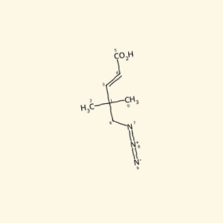 CC(C)(/C=C/C(=O)O)CN=[N+]=[N-]